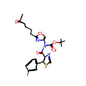 CC(=O)CCCCc1nc(N(C(=O)OC(C)(C)C)C(=O)c2ncsc2-c2cccc(F)c2)co1